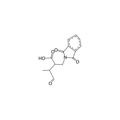 CC(C=O)C(CN1C(=O)c2ccccc2C1=O)C(=O)O